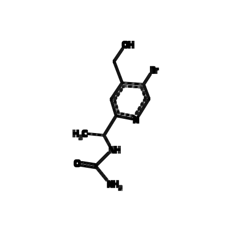 CC(NC(N)=O)c1cc(CO)c(Br)cn1